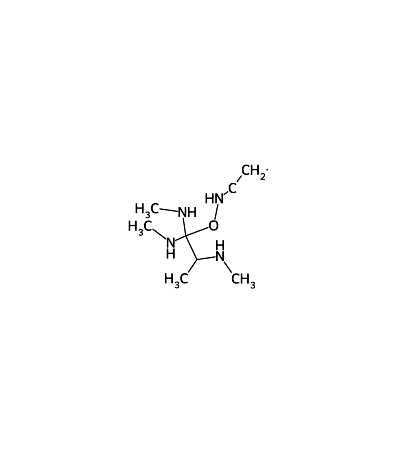 [CH2]CNOC(NC)(NC)C(C)NC